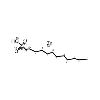 CCCCCCCCCCCCS(=O)(=O)O.[Zn]